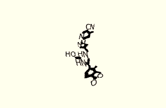 Cc1cc(-n2cc(CNCC(NCCO)c3ccc4c(c3C)COC4=O)cn2)ncc1C#N